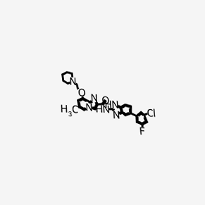 Cc1cc(OCCN2CCCCC2)c2nc(C(=O)Nc3nc4cc(-c5cc(F)cc(Cl)c5)ccc4[nH]3)cn2c1